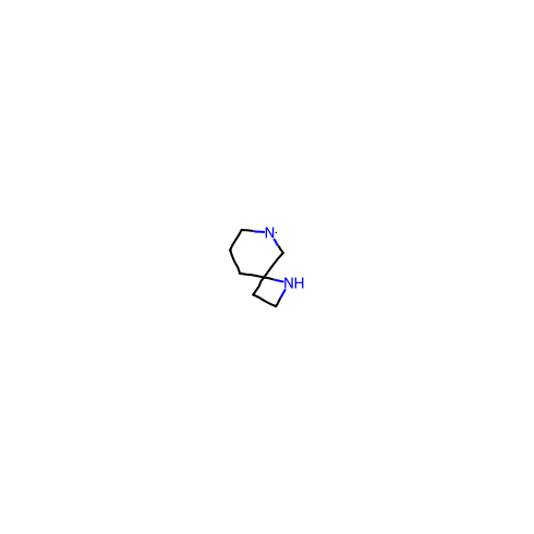 C1C[N]CC2(C1)CCN2